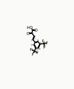 O=C(O)C(=O)/C=C/c1cc(C(F)(F)F)cc(C(F)(F)F)c1